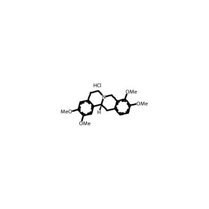 COc1cc2c(cc1OC)[C@H]1Cc3ccc(OC)c(OC)c3CN1CC2.Cl